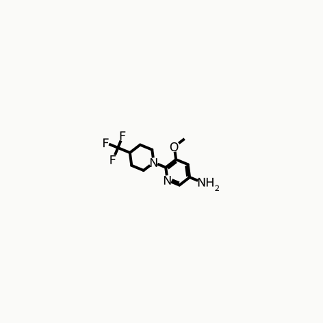 COc1cc(N)cnc1N1CCC(C(F)(F)F)CC1